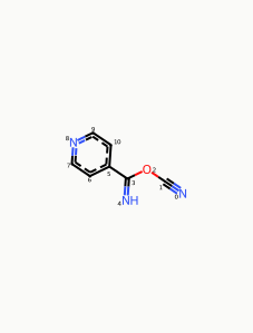 N#COC(=N)c1ccncc1